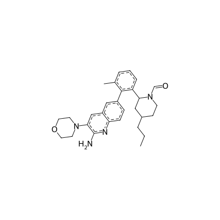 CCCC1CCN(C=O)C(c2cccc(C)c2-c2ccc3nc(N)c(N4CCOCC4)cc3c2)C1